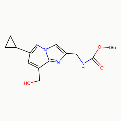 CC(C)(C)OC(=O)NCc1cn2cc(C3CC3)cc(CO)c2n1